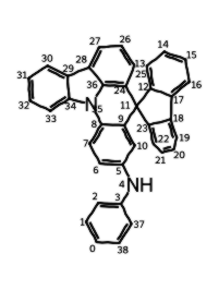 c1ccc(Nc2ccc3c(c2)C2(c4ccccc4-c4ccccc42)c2cccc4c5ccccc5n-3c24)cc1